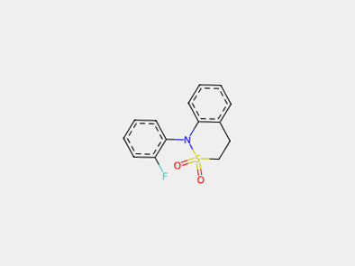 O=S1(=O)CCc2ccccc2N1c1ccccc1F